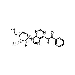 [2H]C[C@H]1C=C[C@@H](n2cnc3c(NC(=O)c4ccccc4)ncnc32)[C@H](F)[C@@H]1O